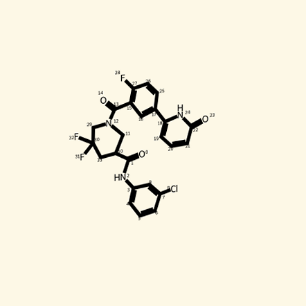 O=C(Nc1cccc(Cl)c1)C1CN(C(=O)c2cc(-c3cccc(=O)[nH]3)ccc2F)CC(F)(F)C1